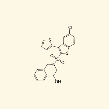 O=S(=O)(c1sc2ccc(Cl)cc2c1-c1cccs1)N(CCO)Cc1ccccc1